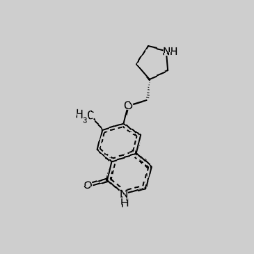 Cc1cc2c(=O)[nH]ccc2cc1OC[C@@H]1CCNC1